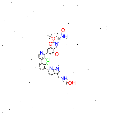 COc1cc(-c2nccc(-c3cccc(-c4ccc5c(CNCC(C)(C)O)cn(C)c5n4)c3Cl)c2Cl)ccc1CN(C[C@@H]1CCC(=O)N1)C(=O)OC(C)(C)C